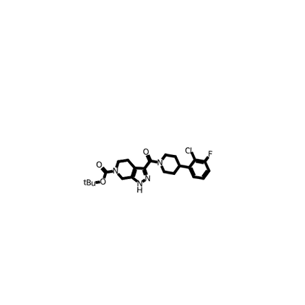 CC(C)(C)OC(=O)N1CCc2c(C(=O)N3CCC(c4cccc(F)c4Cl)CC3)n[nH]c2C1